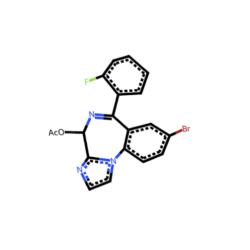 CC(=O)OC1N=C(c2ccccc2F)c2cc(Br)ccc2-n2ccnc21